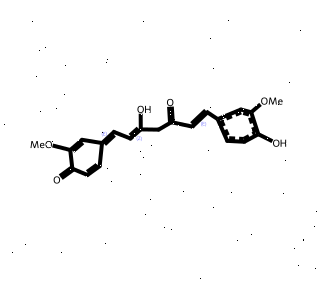 COC1=C/C(=C/C=C(\O)CC(=O)/C=C/c2ccc(O)c(OC)c2)C=CC1=O